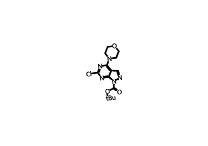 CC(C)(C)OC(=O)n1ncc2c(N3CCOCC3)nc(Cl)nc21